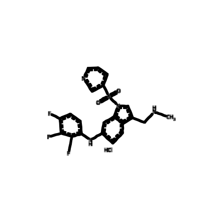 CNCc1cn(S(=O)(=O)c2cccnc2)c2cc(Nc3ccc(F)c(F)c3F)ccc12.Cl